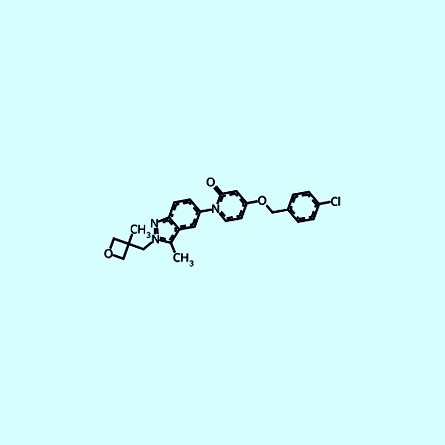 Cc1c2cc(-n3ccc(OCc4ccc(Cl)cc4)cc3=O)ccc2nn1CC1(C)COC1